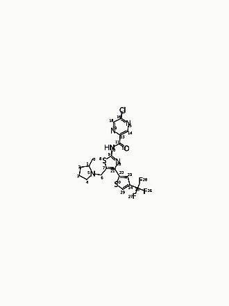 CC1CCCN1Cc1sc(NC(=O)c2cnc(Cl)cn2)nc1-c1cc(C(F)(F)F)cs1